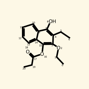 CCOc1c(CC)c(O)c2ccccc2c1OC(=O)CC